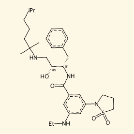 CCNc1cc(C(=O)N[C@@H](Cc2ccccc2)[C@H](O)CNC(C)(C)CCCC(C)C)cc(N2CCCS2(=O)=O)c1